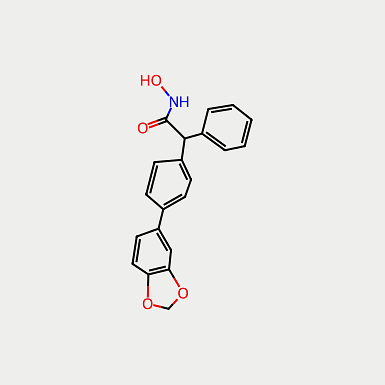 O=C(NO)C(c1ccccc1)c1ccc(-c2ccc3c(c2)OCO3)cc1